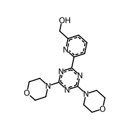 OCc1cccc(-c2nc(N3CCOCC3)nc(N3CCOCC3)n2)n1